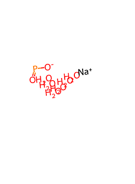 O.O.O.O.O.O.O=P[O-].[Na+]